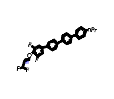 CCCc1ccc(-c2ccc(-c3ccc(-c4cc(F)c(O/C=C/C(F)F)c(F)c4)cc3)cc2)cc1